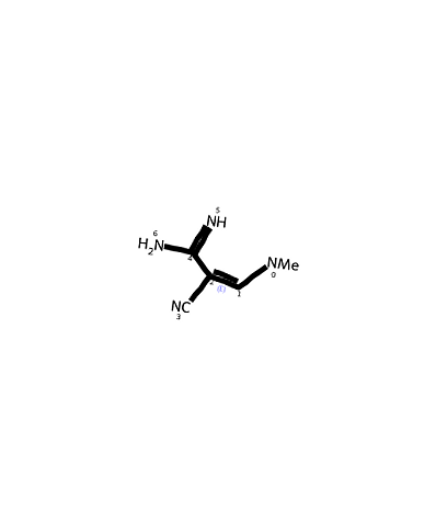 CN/C=C(/C#N)C(=N)N